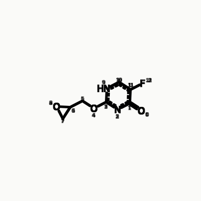 O=c1nc(OCC2CO2)[nH]cc1F